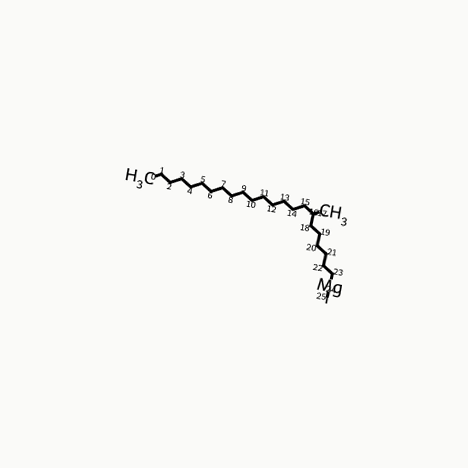 CCCCCCCCCCCCCCCCC(C)CCCCC[CH2][Mg][I]